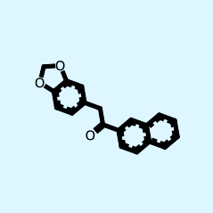 O=C(Cc1ccc2c(c1)OCO2)c1ccc2ccccc2c1